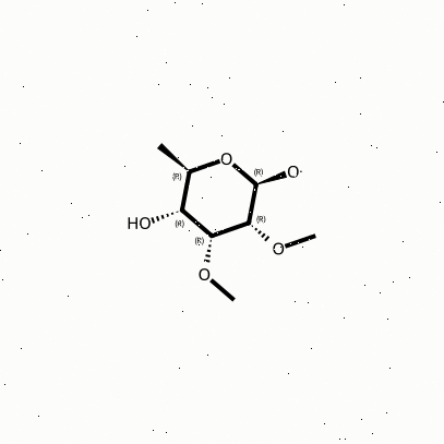 CO[C@@H]1[C@H](O)[C@@H](C)O[C@@H]([O])[C@@H]1OC